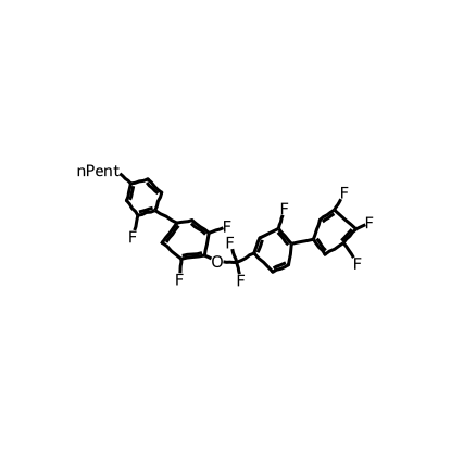 CCCCCc1ccc(-c2cc(F)c(OC(F)(F)c3ccc(-c4cc(F)c(F)c(F)c4)c(F)c3)c(F)c2)c(F)c1